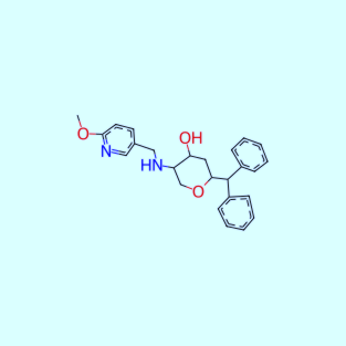 COc1ccc(CNC2COC(C(c3ccccc3)c3ccccc3)CC2O)cn1